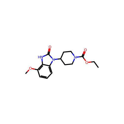 CCOC(=O)N1CCC(n2c(=O)[nH]c3c(OC)cccc32)CC1